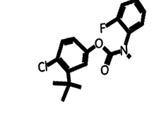 CN(C(=O)Oc1ccc(Cl)c(C(C)(C)C)c1)c1ccccc1F